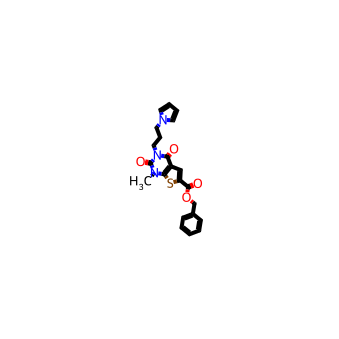 Cn1c(=O)n(CCCn2cccc2)c(=O)c2cc(C(=O)OCc3ccccc3)sc21